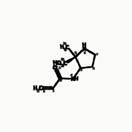 C=CC(=O)NC1CCN[C@]1(C)C(=O)O